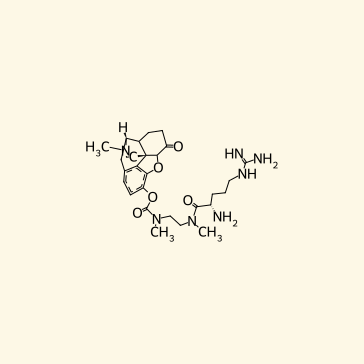 CN(CCN(C)C(=O)[C@@H](N)CCCNC(=N)N)C(=O)Oc1ccc2c3c1OC1C(=O)CCC4[C@@H](C2)N(C)CC[C@]314